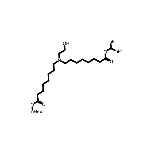 CCCCCCOC(=O)CCCCCCCN(CCO)CCCCCCCC(=O)OC(CCC)CCC